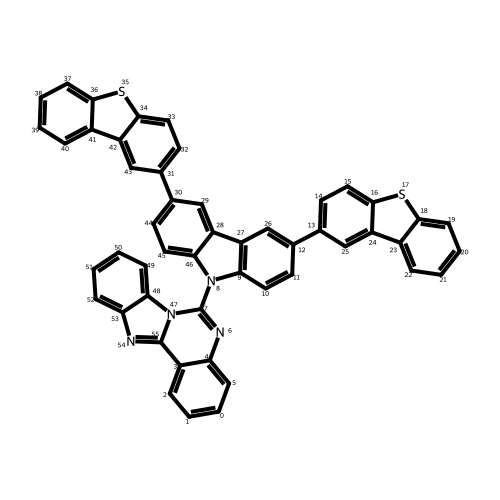 c1ccc2c(c1)nc(-n1c3ccc(-c4ccc5sc6ccccc6c5c4)cc3c3cc(-c4ccc5sc6ccccc6c5c4)ccc31)n1c3ccccc3nc21